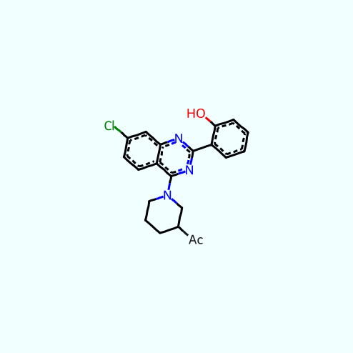 CC(=O)C1CCCN(c2nc(-c3ccccc3O)nc3cc(Cl)ccc23)C1